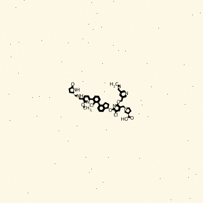 C=NCc1cncc(COc2nc(O[C@H]3CCc4c(-c5cccc(-c6ccc(CNC[C@@H]7CCC(=O)N7)c(OC)n6)c5Cl)cccc43)c(Cl)cc2CN2CC[C@@H](C(=O)O)C2)c1